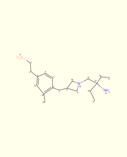 BCCc1ccc(CC2CN(CC(N)(CC)CC)C2)c(C)c1